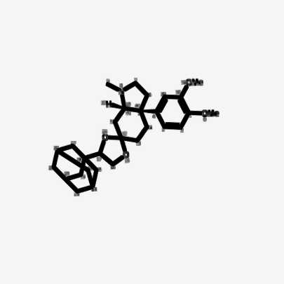 COc1ccc([C@]23CCN(C)[C@H]2CC2(CC3)OCC(C34CC5CC(CC(C5)C3)C4)O2)cc1OC